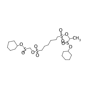 CC(OS(=O)(=O)CCCCCCS(=O)(=O)OCS(=O)OC1CCCCC1)S(=O)OC1CCCCC1